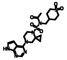 CC(=O)N(CC1CCS(=O)(=O)CC1)S(=O)(=O)N1CCN(c2ncnc3[nH]ccc23)CC12CC2